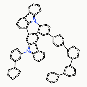 c1ccc(-c2cccc(-c3cccc(-c4ccc(-c5ccc(-n6c7ccccc7c7cccc(-c8ccc9c%10ccccc%10n(-c%10cccc(-c%11ccccc%11)c%10)c9c8)c76)cc5)cc4)c3)c2)cc1